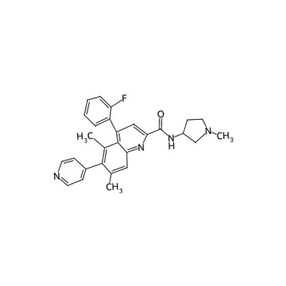 Cc1cc2nc(C(=O)NC3CCN(C)C3)cc(-c3ccccc3F)c2c(C)c1-c1ccncc1